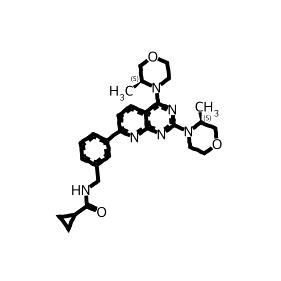 C[C@H]1COCCN1c1nc(N2CCOC[C@@H]2C)c2ccc(-c3cccc(CNC(=O)C4CC4)c3)nc2n1